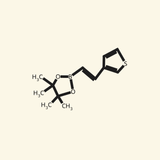 CC1(C)OB(/C=C/c2ccsc2)OC1(C)C